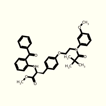 COC(=O)[C@H](Cc1ccc(OCCN(C(=O)C(C)(C)C)c2cccc(OC)c2)cc1)Nc1ccccc1C(=O)c1ccccc1